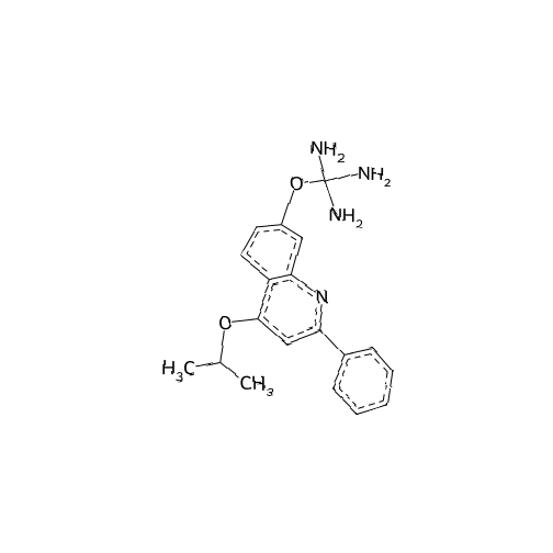 CC(C)Oc1cc(-c2ccccc2)nc2cc(OC(N)(N)N)ccc12